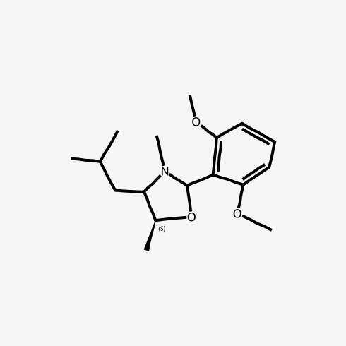 COc1cccc(OC)c1C1O[C@@H](C)C(CC(C)C)N1C